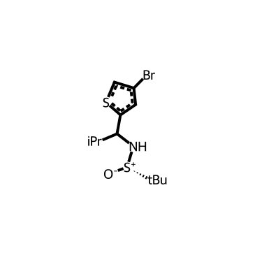 CC(C)C(N[S@@+]([O-])C(C)(C)C)c1cc(Br)cs1